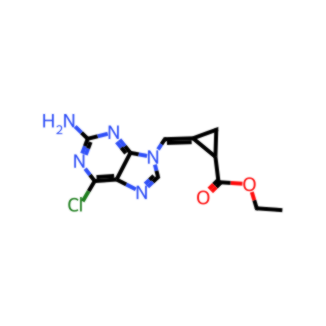 CCOC(=O)C1CC1=Cn1cnc2c(Cl)nc(N)nc21